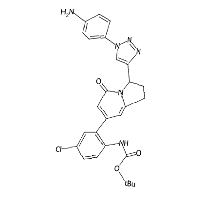 CC(C)(C)OC(=O)Nc1ccc(Cl)cc1-c1cc2n(c(=O)c1)C(c1cn(-c3ccc(N)cc3)nn1)CC2